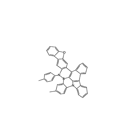 Cc1ccc(N2B3c4cc(C)ccc4-n4c5ccccc5c5c6ccccc6c(c3c54)-c3cc4oc5ccccc5c4cc32)cc1